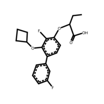 CCC(Oc1ccc(-c2cccc(F)c2)c(OC2CCC2)c1F)C(=O)O